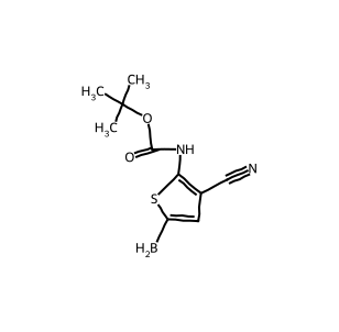 Bc1cc(C#N)c(NC(=O)OC(C)(C)C)s1